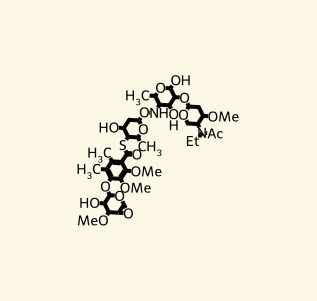 CCN(C(C)=O)C1COC(OC2C(O)OC(C)C(NOC3CC(O)C(SC(=O)c4c(C)c(C)c(OC5OC6OC6C(OC)C5O)c(OC)c4OC)C(C)O3)C2O)CC1OC